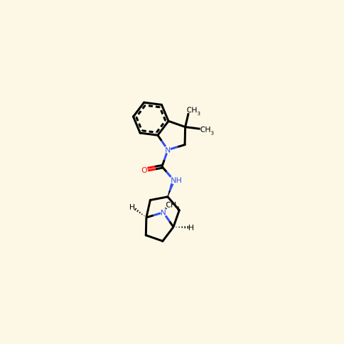 CN1[C@@H]2CC[C@H]1C[C@@H](NC(=O)N1CC(C)(C)c3ccccc31)C2